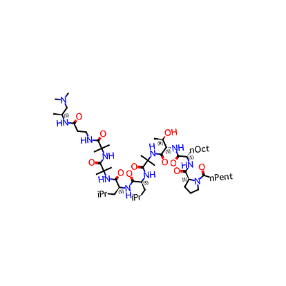 CCCCCCCC[C@H](NC(=O)[C@@H]1CCCN1C(=O)CCCCC)C(=O)N[C@H](C(=O)NC(C)(C)C(=O)N[C@@H](CC(C)C)C(=O)N[C@@H](CC(C)C)C(=O)NC(C)(C)C(=O)NC(C)(C)C(=O)NCCC(=O)N[C@@H](C)CN(C)C)[C@@H](C)O